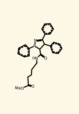 COC(=O)CCCCNC(=O)C1C(c2ccccc2)C(c2ccccc2)=NN1c1ccccc1